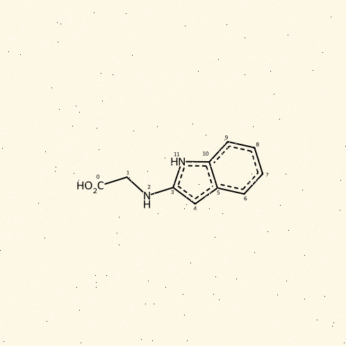 O=C(O)CNc1cc2ccccc2[nH]1